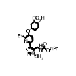 CCCOC(=O)NCc1c(-c2ccc(O[C@H]3CCC[C@H](C(=O)O)C3)c(CC)n2)nnn1C